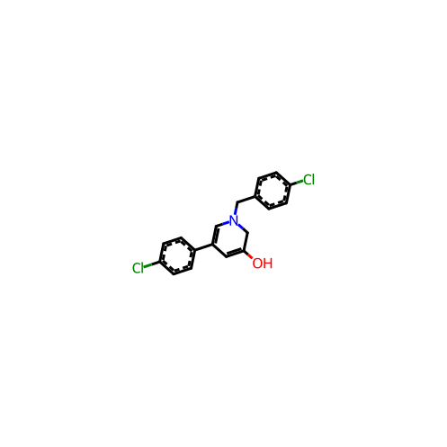 OC1=CC(c2ccc(Cl)cc2)=CN(Cc2ccc(Cl)cc2)C1